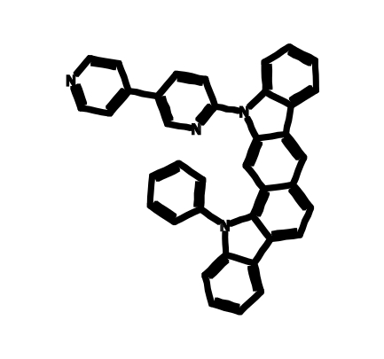 c1ccc(-n2c3ccccc3c3ccc4cc5c6ccccc6n(-c6ccc(-c7ccncc7)cn6)c5cc4c32)cc1